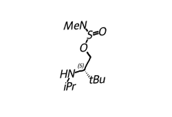 CNS(=O)OC[C@@H](NC(C)C)C(C)(C)C